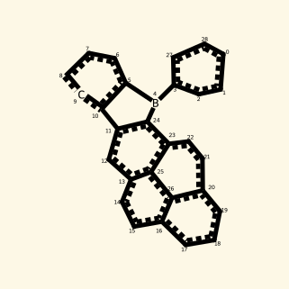 c1ccc(B2c3ccccc3-c3cc4ccc5cccc6ccc(c32)c4c56)cc1